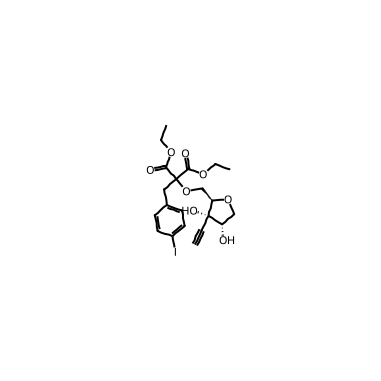 C#C[C@]1(O)[C@@H](O)CO[C@@H]1COC(Cc1ccc(I)cc1)(C(=O)OCC)C(=O)OCC